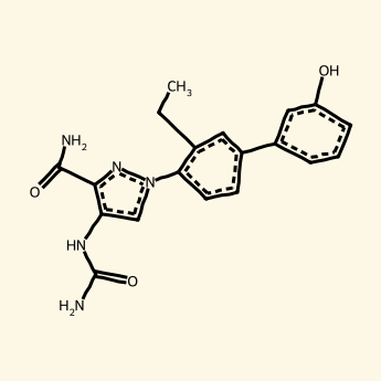 CCc1cc(-c2cccc(O)c2)ccc1-n1cc(NC(N)=O)c(C(N)=O)n1